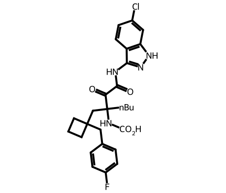 CCCCC(CC1(Cc2ccc(F)cc2)CCC1)(NC(=O)O)C(=O)C(=O)Nc1n[nH]c2cc(Cl)ccc12